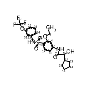 CCOc1cc(NC(=O)[C@@H](O)C2CCCC2)ccc1S(=O)(=O)Nc1cccc(OC(F)(F)F)c1